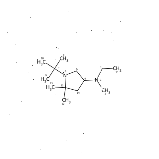 CCN(C)C1CN(C(C)(C)C)C(C)(C)C1